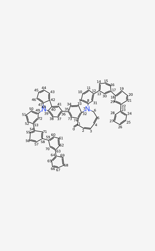 C=C1/C=C\C=C/CN(c2cccc(-c3cccc(-c4cccc(-c5ccccc5)c4)c3)c2)c2ccc(-c3ccc4c(c3)c3ccccc3n4-c3cccc(-c4cccc(-c5cccc(-c6ccccc6)c5)c4)c3)cc21